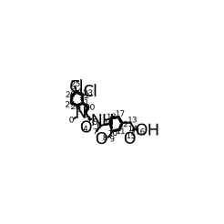 Cn1c(C(=O)N[C@@H]2COCc3cc(CC(=O)O)ccc32)cc2c(Cl)c(Cl)ccc21